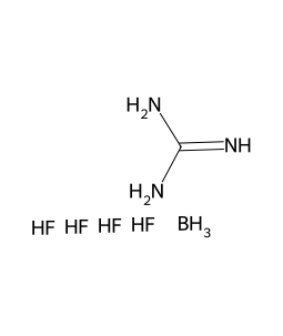 B.F.F.F.F.N=C(N)N